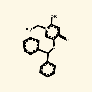 O=Cc1cc(=O)c(OC(c2ccccc2)c2ccccc2)cn1CC(=O)O